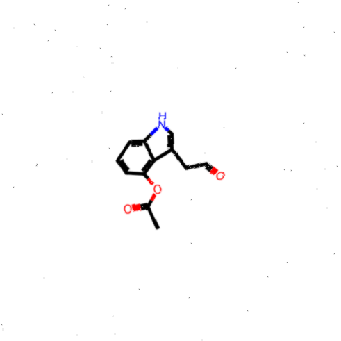 CC(=O)Oc1cccc2[nH]cc(CC=O)c12